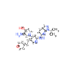 CC(C)n1ncc2ccc(Nc3cc(N4CC[C@@H](O)[C@H](N)C4)c(CCC4CCOCC4)cn3)nc21